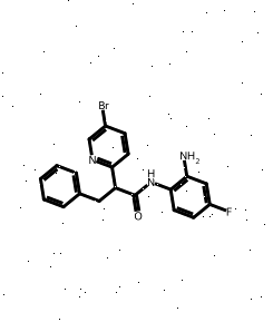 Nc1cc(F)ccc1NC(=O)C(Cc1ccccc1)c1ccc(Br)cn1